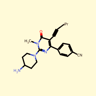 CC(C)C#Cc1c(-c2ccc(C#N)cc2)nc(N2CCC(N)CC2)n(C)c1=O